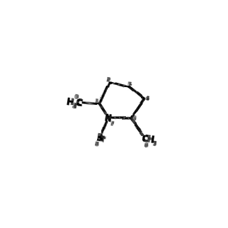 CC1CCCC(C)N1Br